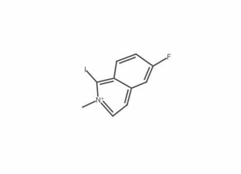 C[n+]1ccc2cc(F)ccc2c1I